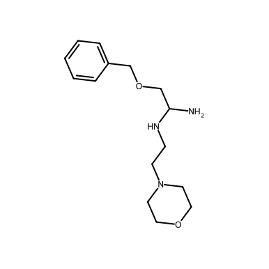 NC(COCc1ccccc1)NCCN1CCOCC1